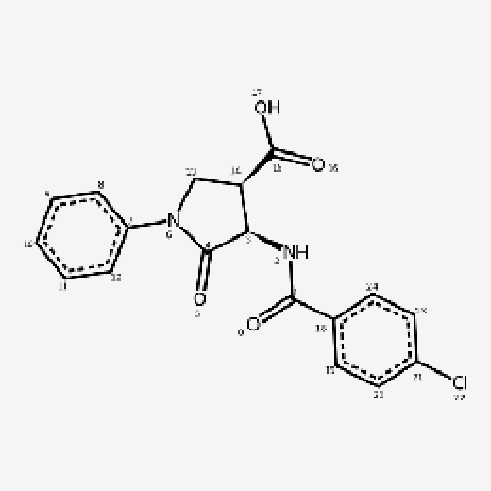 O=C(N[C@H]1C(=O)N(c2ccccc2)C[C@H]1C(=O)O)c1ccc(Cl)cc1